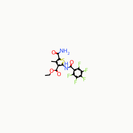 CCOC(=O)c1c(NC(=O)c2c(F)c(F)c(F)c(F)c2F)sc(C(N)=O)c1C